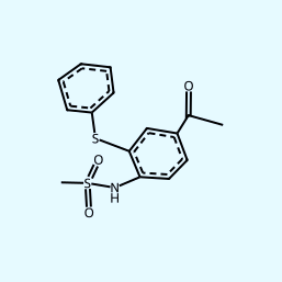 CC(=O)c1ccc(NS(C)(=O)=O)c(Sc2ccccc2)c1